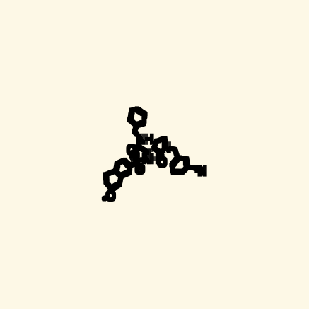 COc1ccc2ccc(S(=O)(=O)NC(C(=O)NCc3ccccc3)[C@@H]3CCN(Cc4cccc(C#N)c4)C3=O)cc2c1